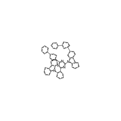 c1ccc(-c2ccc(-c3nc(-c4ccccc4-n4c5ccccc5c5ccccc54)nc(-n4c5ccccc5c5ccc(-c6cccc(-c7ccccc7)c6)cc54)n3)cc2)cc1